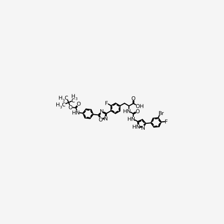 CC(C)(C)OC(=O)Nc1ccc(-c2nc(-c3ccc(CC(NC(=O)Nc4cc(-c5ccc(F)c(Br)c5)n[nH]4)C(=O)O)cc3F)no2)cc1